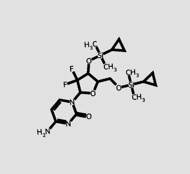 C[Si](C)(OCC1OC(n2ccc(N)nc2=O)C(F)(F)C1O[Si](C)(C)C1CC1)C1CC1